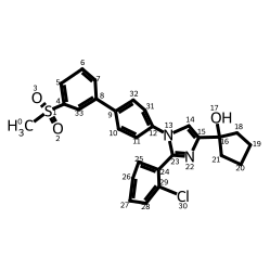 CS(=O)(=O)c1cccc(-c2ccc(-n3cc(C4(O)CCCC4)nc3-c3ccccc3Cl)cc2)c1